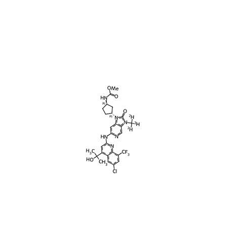 [2H]C([2H])([2H])n1c(=O)n([C@@H]2CC[C@@H](NC(=O)OC)C2)c2cc(Nc3cc(C(C)(C)O)c4cc(Cl)cc(C(F)(F)F)c4n3)ncc21